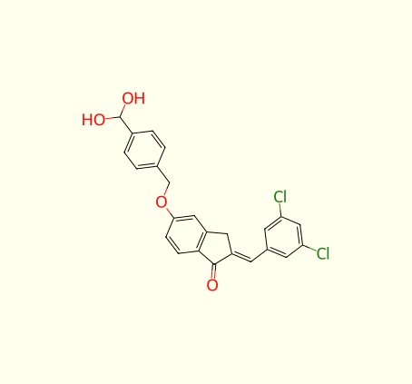 O=C1/C(=C/c2cc(Cl)cc(Cl)c2)Cc2cc(OCc3ccc(C(O)O)cc3)ccc21